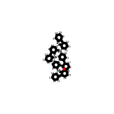 c1ccc(-c2ccccc2-n2c3ccccc3c3ccccc32)c(-c2ccc(N(c3cccc4c3sc3ccccc34)c3cccc4c3sc3ccccc34)cc2)c1